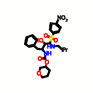 CC(C)CNC(C(O)C(Cc1ccccc1)NC(=O)O[C@H]1CCCOC1)S(=O)(=O)c1ccc([N+](=O)[O-])cc1